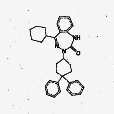 O=C1Nc2ccccc2C(C2CCCCC2)=NN1C1CCC(c2ccccc2)(c2ccccc2)CC1